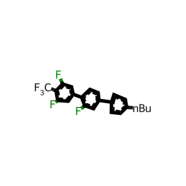 CCCCc1ccc(-c2ccc(-c3cc(F)c(C(F)(F)F)c(F)c3)c(F)c2)cc1